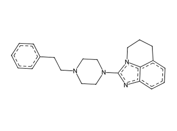 c1ccc(CCN2CCN(c3nc4cccc5c4n3CCC5)CC2)cc1